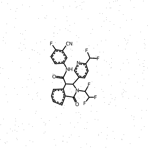 N#Cc1cc(NC(=O)C2c3ccccc3C(=O)N(C(F)C(F)F)C2c2ccc(C(F)F)nc2)ccc1F